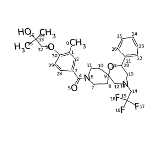 Cc1cc(C(=O)N2CCC3(CC2)CN(CC(F)(F)F)CC(c2ccccc2)O3)ccc1OCC(C)(C)O